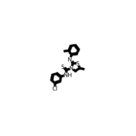 Cc1ccccc1N=C1SC(C)CN1C(=S)Nc1cccc(Cl)c1